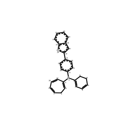 C1=CCC=C(N(C2=CC=CCC2)c2ccc(-c3cc4ccccc4o3)cc2)C=C1